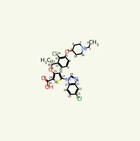 CCN1CCC(Oc2cccc([C@@H](C)Oc3cc(-n4cnc5cc(Cl)ccc54)sc3C(=O)O)c2Cl)CC1